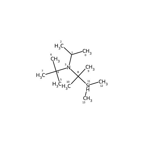 CC(C)N(C(C)(C)C)C(C)(C)[SiH](C)C